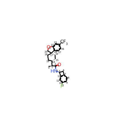 C[C@H](C(=O)N[C@H]1Cc2ccc(F)cc21)[C@H]1CC[C@]2(CC1)COc1cc(C(F)(F)F)ccc12